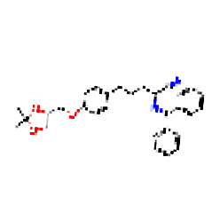 CC1(C)OCC(COc2ccc(CCCC(C#N)N=C(c3ccccc3)c3ccccc3)cc2)O1